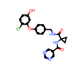 O=C(NC1(C(=O)NCc2ccc(Oc3cc(O)ccc3Cl)cc2)CC1)c1cncnc1